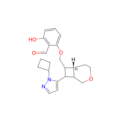 O=Cc1c(O)cccc1OCC1C(c2ccnn2C2CCC2)C2COCC[C@H]21